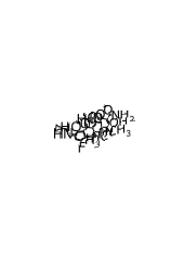 CN(C)[C@@H]1C(O)=C(C(N)=O)C(=O)[C@@]2(O)C(O)=C3C(=O)c4c(O)c(NCC5CC5)cc(F)c4C[C@H]3C[C@@H]12